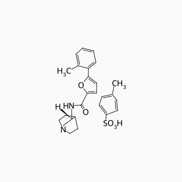 Cc1ccc(S(=O)(=O)O)cc1.Cc1ccccc1-c1ccc(C(=O)N[C@H]2CN3CCC2CC3)o1